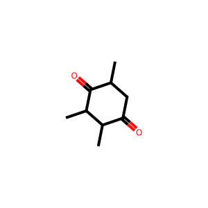 CC1CC(=O)C(C)C(C)C1=O